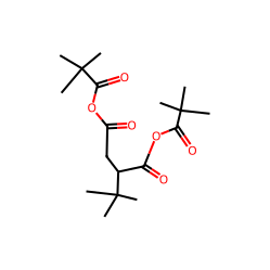 CC(C)(C)C(=O)OC(=O)CC(C(=O)OC(=O)C(C)(C)C)C(C)(C)C